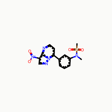 CN(c1cccc(-c2ccnc3c([N+](=O)[O-])cnn23)c1)S(C)(=O)=O